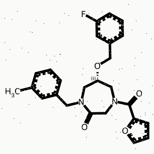 Cc1cccc(CN2C[C@H](OCc3cccc(F)c3)CN(C(=O)c3ccco3)CC2=O)c1